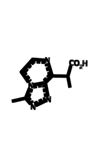 Cc1nnc2c(C(C)C(=O)O)nccn12